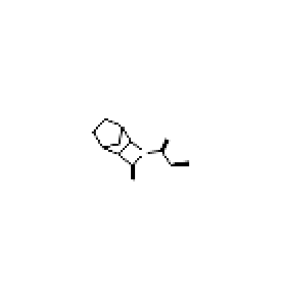 C=CC(=O)N1C(=O)C2C3CCC(C3)C21